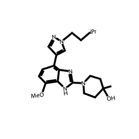 COc1ccc(-c2cnn(CCC(C)C)c2)c2nc(N3CCC(C)(O)CC3)[nH]c12